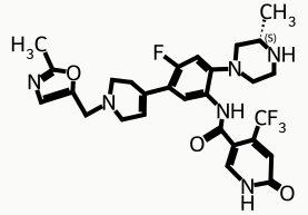 Cc1ncc(CN2CC=C(c3cc(NC(=O)c4c[nH]c(=O)cc4C(F)(F)F)c(N4CCN[C@@H](C)C4)cc3F)CC2)o1